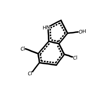 Oc1c[nH]c2c(Cl)c(Cl)cc(Cl)c12